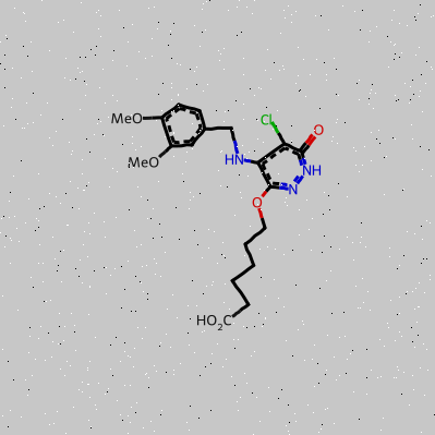 COc1ccc(CNc2c(OCCCCCC(=O)O)n[nH]c(=O)c2Cl)cc1OC